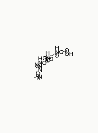 Cc1ccc(Nc2nccc(N(C)c3ccc4c(C)n(C)nc4c3)n2)cc1S(=O)(=O)NC(=O)CCCC(=O)Nc1ccc(C(=O)O)cc1